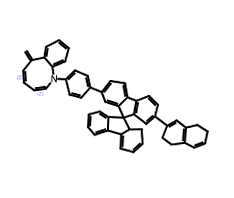 C=C1/C=C\C=C/N(c2ccc(-c3ccc4c(c3)C3(c5ccccc5C5=CC=CCC53)c3cc(C5=CC6=C(C=CCC6)CC5)ccc3-4)cc2)c2ccccc21